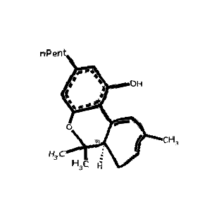 CCCCCc1cc(O)c2c(c1)OC(C)(C)[C@@H]1CC=C(C)C=C21